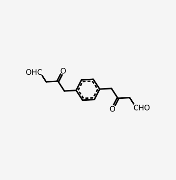 O=CCC(=O)Cc1ccc(CC(=O)CC=O)cc1